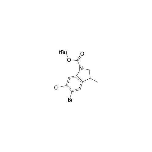 CC1CN(C(=O)OC(C)(C)C)c2cc(Cl)c(Br)cc21